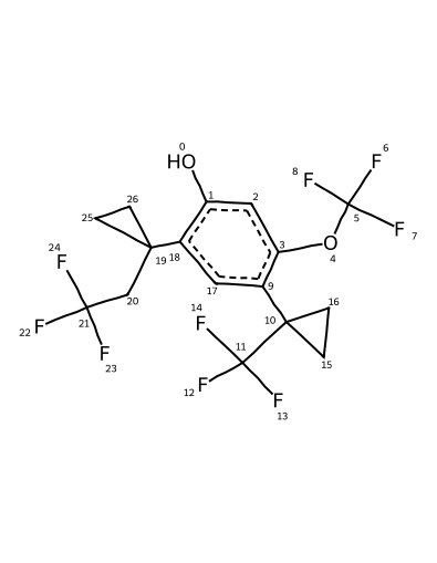 Oc1cc(OC(F)(F)F)c(C2(C(F)(F)F)CC2)cc1C1(CC(F)(F)F)CC1